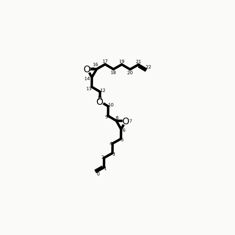 C=CCCCCC1OC1CCOCCC1OC1CCCCC=C